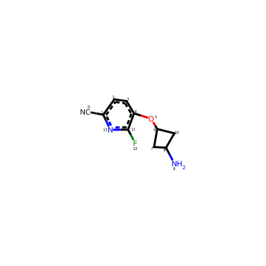 N#Cc1ccc(OC2CC(N)C2)c(F)n1